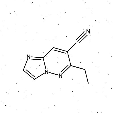 CCc1nn2ccnc2cc1C#N